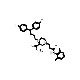 Cc1cccc(C)c1NC(=O)CCN1CCN(CCCC(c2ccc(F)cc2)c2ccc(F)cc2)C(C(N)=O)C1